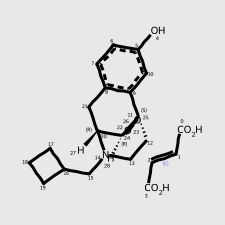 O=C(O)/C=C/C(=O)O.Oc1ccc2c(c1)[C@]13CCN(CC4CCC4)[C@H](C2)[C@@H]1OCOC3